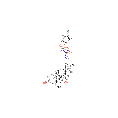 CC[C@H]1[C@@H](O)[C@@H]2[C@H](CC[C@]3(C)[C@@H]([C@H](C)CCNC(=O)NS(=O)(=O)c4ccc(Cl)cc4)CC[C@@H]23)[C@@]2(C)CC[C@@H](O)C[C@@H]12